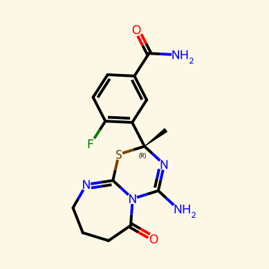 C[C@@]1(c2cc(C(N)=O)ccc2F)N=C(N)N2C(=O)CCCN=C2S1